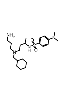 CC(CCN(CCCN)CC1CCCCC1)NS(=O)(=O)c1ccc(N(C)C)cc1